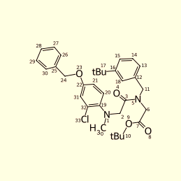 CN(CC(=O)N(CC(=O)OC(C)(C)C)Cc1cccc(C(C)(C)C)c1)c1ccc(OCc2ccccc2)cc1Cl